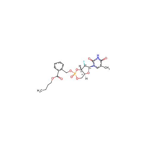 CCCCOC(=O)c1ccccc1COP1(=O)OC[C@@H]2O[C@H](n3cc(C)c(=O)[nH]c3=O)[C@H](F)[C@H]2O1